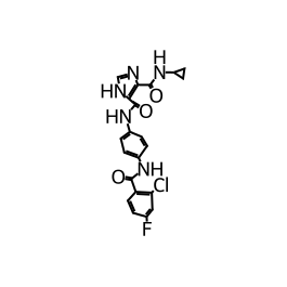 O=C(Nc1ccc(NC(=O)c2[nH]cnc2C(=O)NC2CC2)cc1)c1ccc(F)cc1Cl